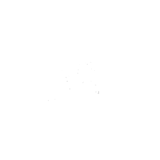 COc1cccc(-c2cc(C(N)=O)c(=O)[nH]c2C)c1